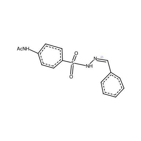 CC(=O)Nc1ccc(S(=O)(=O)N/N=C\c2ccccc2)cc1